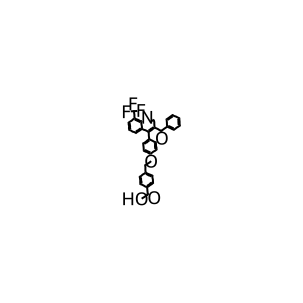 O=C(O)c1ccc(COc2ccc(-c3c(C(=O)c4ccccc4)cnc4c(C(F)(F)F)cccc34)cc2)cc1